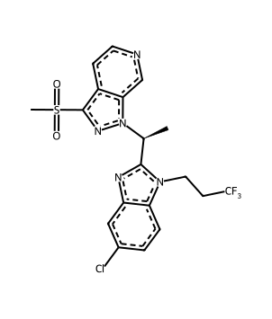 C[C@@H](c1nc2cc(Cl)ccc2n1CCC(F)(F)F)n1nc(S(C)(=O)=O)c2ccncc21